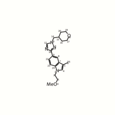 COCCn1cc(I)c2cc(-c3ncn(CC4CCOCC4)n3)ccc21